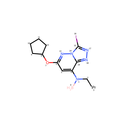 BN(CC(C)C)c1cc(OC2CCCC2)nn2c(I)nnc12